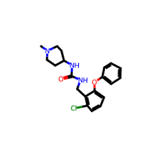 CN1CCC(NC(=O)NCc2c(Cl)cccc2Oc2ccccc2)CC1